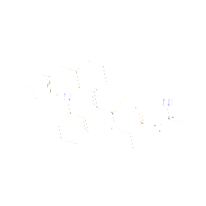 C=C(N)NC(=O)C(C)OC(=O)c1c2c(nc3ccccc13)/C(=C\c1cccs1)CCC2